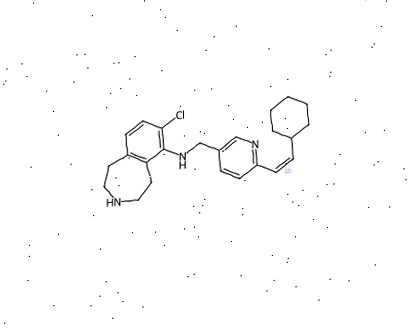 Clc1ccc2c(c1NCc1ccc(/C=C\C3CCCCC3)nc1)CCNCC2